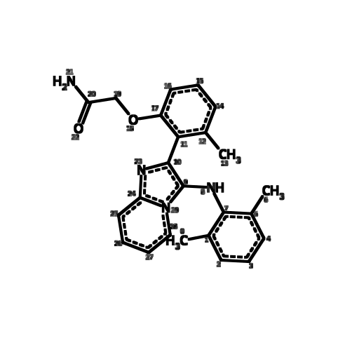 Cc1cccc(C)c1Nc1c(-c2c(C)cccc2OCC(N)=O)nc2ccccn12